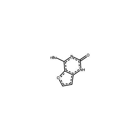 CCCCc1nc(=O)[nH]c2ccoc12